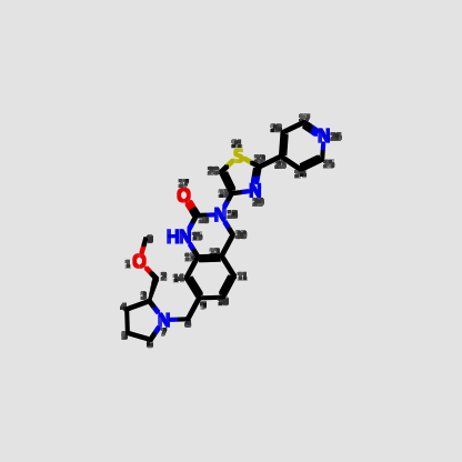 COC[C@@H]1CCCN1Cc1ccc2c(c1)NC(=O)N(c1csc(-c3ccncc3)n1)C2